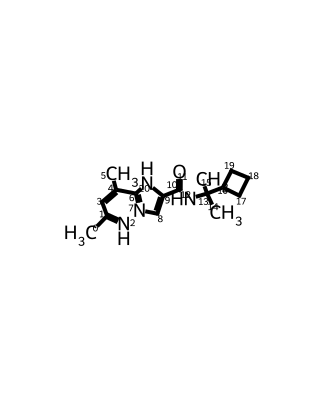 CC(=N)/C=C(/C)c1ncc(C(=O)NC(C)(C)C2CCC2)[nH]1